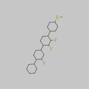 CSC1CCC(C2CCC(C3CCC(C4CCCCC4)C(F)C3)C(F)C2F)CC1